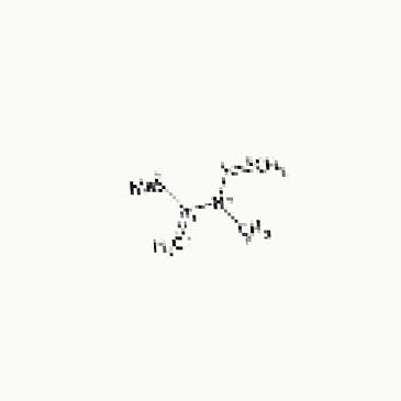 C=CN(C)C(=C)SC